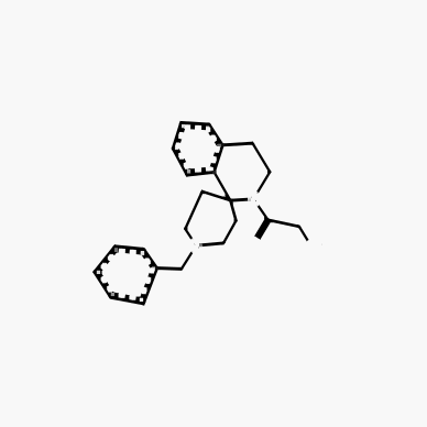 CC(=O)OCC(=O)N1CCc2ccccc2C12CCN(Cc1ccccc1)CC2